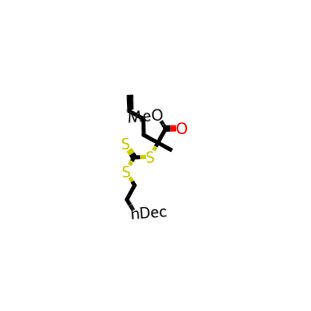 C=CCCC(C)(SC(=S)SCCCCCCCCCCCC)C(=O)OC